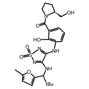 Cc1ccc(C(NC2=NS(=O)(=O)N=C2Nc2cccc(C(=O)N3CCC[C@H]3CO)c2O)C(C)(C)C)o1